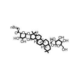 CCCCOC(=O)[C@H]1O[C@@H](O[C@H]2CC[C@]3(C)[C@H]4CC=C5[C@@H]6CC(C)(C)CC[C@]6(C(=O)O[C@@H]6O[C@H](CO)[C@@H](O)[C@H](O)[C@H]6O)CC[C@@]5(C)[C@]4(C)CC[C@H]3C2(C)C)[C@H](O)[C@@H](O)[C@@H]1O